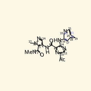 CNC(=O)c1c(NC(=O)c2nc(C(C)=O)cnc2NC2=C/C=C/C=C/N=C\2)cnn1C